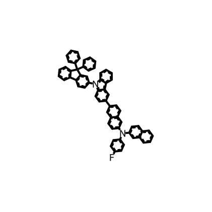 Fc1ccc(N(c2ccc3ccccc3c2)c2ccc3cc(-c4ccc5c(c4)c4ccccc4n5-c4ccc5c(c4)C(c4ccccc4)(c4ccccc4)c4ccccc4-5)ccc3c2)cc1